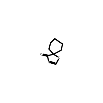 O=C1N=COC12CCCCC2